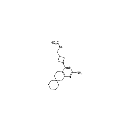 Nc1nc2c(c(N3CC(CNC(=O)O)C3)n1)CCC1(CCCCC1)C2